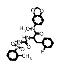 Cc1ccccc1S(=O)(=O)NC(=O)NC(Cc1ccccc1F)C(=O)N(C)c1ccc2c(c1)OCO2